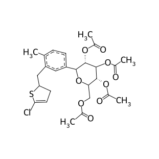 CC(=O)OCC1OC(c2ccc(C)c(CC3CC=C(Cl)S3)c2)[C@H](OC(C)=O)C(OC(C)=O)[C@@H]1OC(C)=O